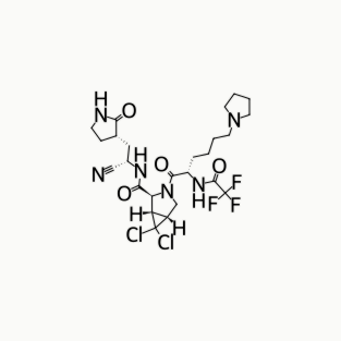 N#C[C@H](C[C@@H]1CCNC1=O)NC(=O)[C@@H]1[C@@H]2[C@H](CN1C(=O)[C@H](CCCCN1CCCC1)NC(=O)C(F)(F)F)C2(Cl)Cl